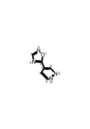 c1cc(-c2ncno2)cnn1